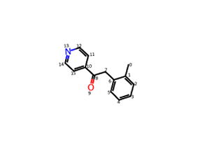 Cc1ccccc1CC(=O)c1ccncc1